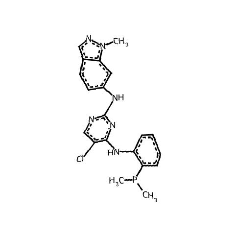 Cn1ncc2ccc(Nc3ncc(Cl)c(Nc4ccccc4P(C)C)n3)cc21